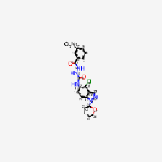 O=C(NNC(=O)c1cccc([N+](=O)[O-])c1)Nc1ccc2c(cnn2C2CCCCO2)c1Cl